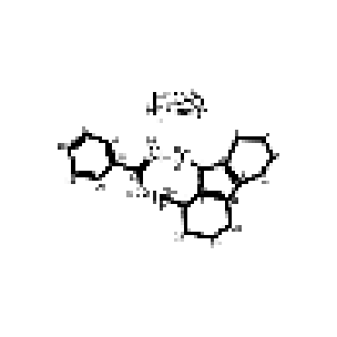 CC1C2=C(CCCC2)C2=C1[CH]([Ti+2][O]C(=O)c1ccccc1)CCC2.C[O-].C[O-]